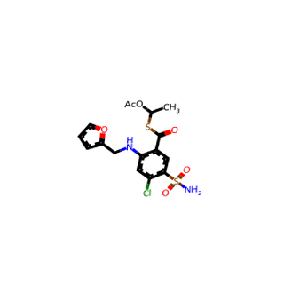 CC(=O)OC(C)SC(=O)c1cc(S(N)(=O)=O)c(Cl)cc1NCc1ccco1